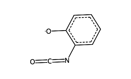 [O]c1ccccc1N=C=O